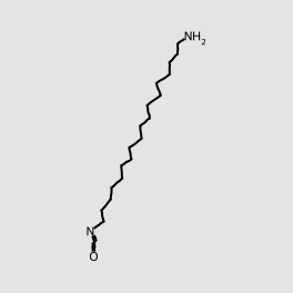 NCCCCCCCCCCCCCCCCCCN=C=O